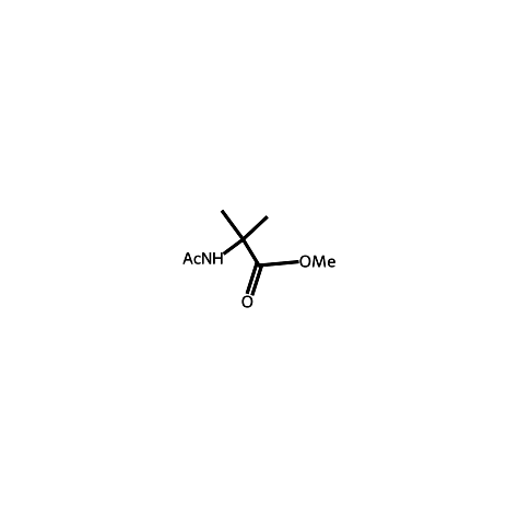 COC(=O)C(C)(C)NC(C)=O